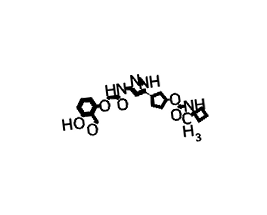 CC1(NC(=O)O[C@@H]2CC[C@H](c3cc(NC(=O)COc4cccc(O)c4C=O)n[nH]3)C2)CCC1